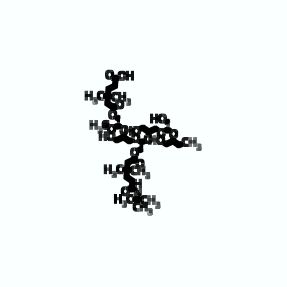 CCC(CO)O[C@@H](CO)OCC(CO)O[C@@H](COC(=O)CC(C)(C)CCC(=O)NC(C)(C)C)OCC(CO)O[C@@H](COC(=O)CC(C)(C)CCC(=O)O)OC